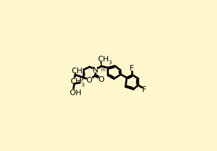 CC(C)[C@@]1(CCO)CCN([C@@H](C)c2ccc(-c3ccc(F)cc3F)cc2)C(=O)O1